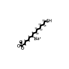 O=S(=O)([O-])CCCCCCCCCCCCS.[Na+]